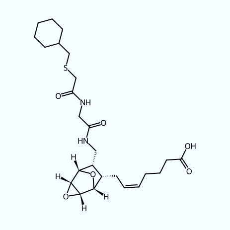 O=C(O)CCC/C=C\C[C@H]1[C@@H](CNC(=O)CNC(=O)CSCC2CCCCC2)[C@@H]2O[C@H]1[C@@H]1O[C@@H]12